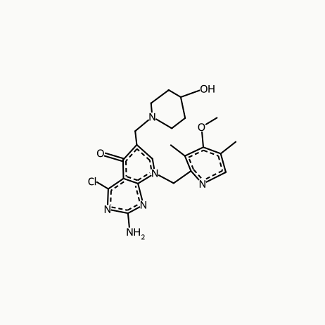 COc1c(C)cnc(Cn2cc(CN3CCC(O)CC3)c(=O)c3c(Cl)nc(N)nc32)c1C